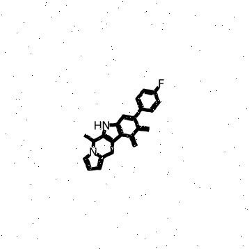 C=c1c(-c2ccc(F)cc2)cc2[nH]c3c(c2c1=C)Cc1cccn1C3C